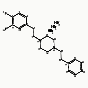 Br.Br.Br.Fc1ccc(CCN2CCN(CCc3ccncc3)CC2)cc1F